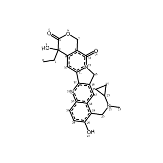 CCC1(O)C(=O)OCc2c1cc1n(c2=O)Cc2cc3c(CN(C)C4CC4)c(O)ccc3nc2-1